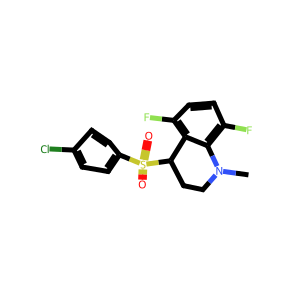 CN1CCC(S(=O)(=O)c2ccc(Cl)cc2)c2c(F)ccc(F)c21